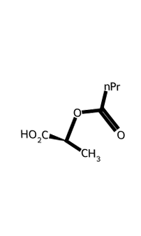 CCCC(=O)O[C@@H](C)C(=O)O